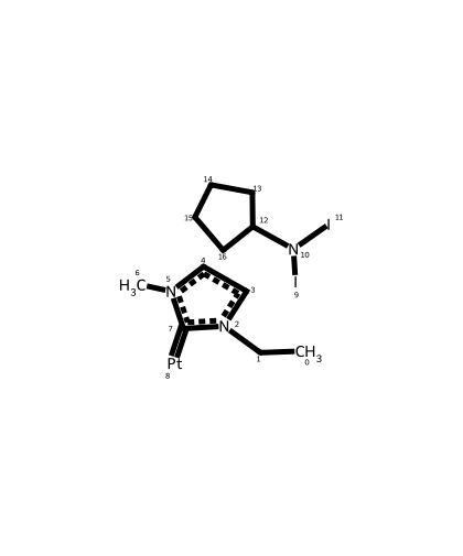 CCn1ccn(C)[c]1=[Pt].IN(I)C1CCCC1